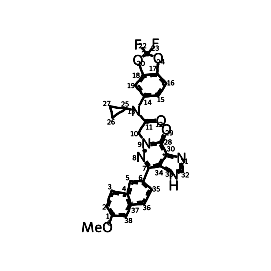 COc1ccc2cc(-c3nn(CC(=O)N(c4ccc5c(c4)OC(F)(F)O5)C4CC4)c(=O)c4nc[nH]c34)ccc2c1